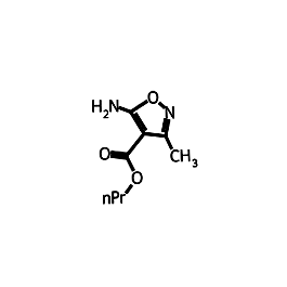 CCCOC(=O)c1c(C)noc1N